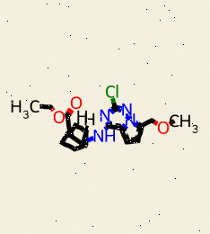 CCOC(=O)[C@@H]1C2CCC(CC2)[C@H]1Nc1nc(Cl)nn2c(COC)ccc12